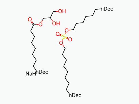 CCCCCCCCCCCCCCCCCC(=O)OCC(O)CO.CCCCCCCCCCCCCCCCCCOS(=O)(=O)OCCCCCCCCCCCCCCCC.[NaH]